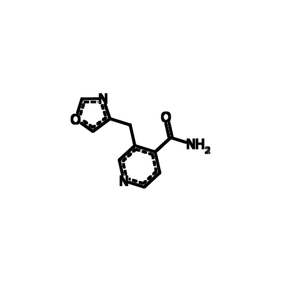 NC(=O)c1ccncc1Cc1cocn1